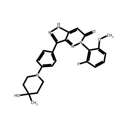 COc1cccc(F)c1-n1nc2c(-c3ccc(N4CCC(C)(O)CC4)cc3)n[nH]c2cc1=O